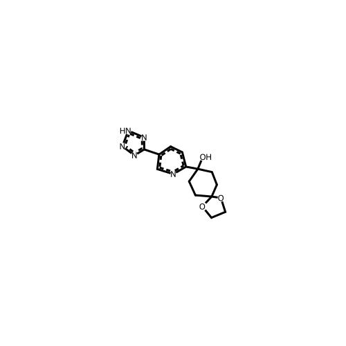 OC1(c2ccc(-c3nn[nH]n3)cn2)CCC2(CC1)OCCO2